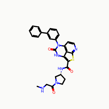 CNCC(=O)N1CC[C@@H](NC(=O)c2sc3nccc4c3c2NC(=O)N4c2cccc(-c3ccccc3)c2)C1